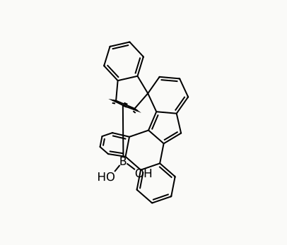 OB(O)c1ccc2c(c1)C1(C=CC=C3C=c4c(c5ccccc5c5ccccc45)=C31)c1ccccc1-2